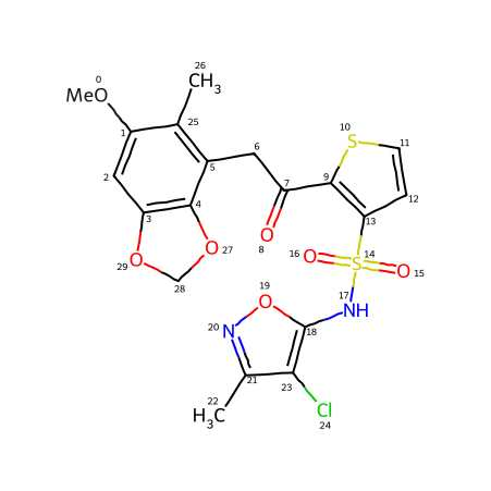 COc1cc2c(c(CC(=O)c3sccc3S(=O)(=O)Nc3onc(C)c3Cl)c1C)OCO2